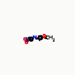 CCOc1ccc(C=Nc2ccc([N+](=O)[O-])cc2)cc1